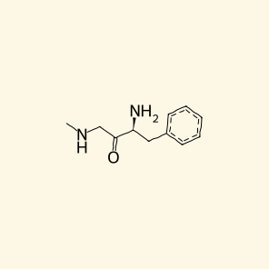 CNCC(=O)[C@@H](N)Cc1ccccc1